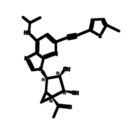 CC(=O)[C@]12CC1[C@@H](n1cnc3c(NC(C)C)cc(C#Cc4ccc(C)s4)nc31)[C@H](O)[C@@H]2O